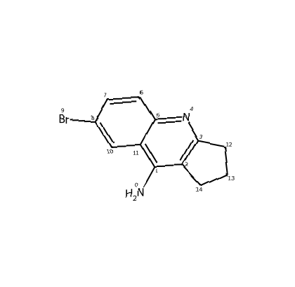 Nc1c2c(nc3ccc(Br)cc13)CCC2